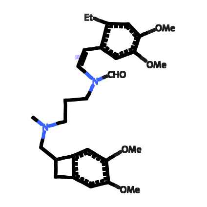 CCc1cc(OC)c(OC)cc1/C=C\N(C=O)CCCN(C)CC1Cc2cc(OC)c(OC)cc21